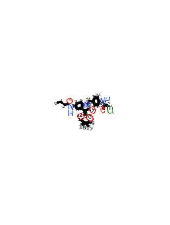 CCCC(=O)Nc1ccc2c(c1)C(C1OCC(C)(C)CO1)C(=O)N2Cc1ccc(NC(=O)CCl)cc1